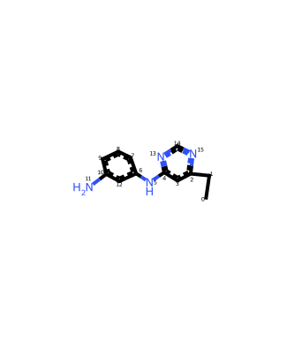 CCc1cc(Nc2cccc(N)c2)ncn1